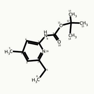 CCc1cc(C)cc(NC(=O)OC(C)(C)C)n1